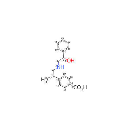 CC(CNCC(O)c1ccccc1)c1ccc(C(=O)O)cc1